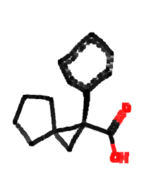 O=C(O)[C@]1(c2ccccc2)CC12CCCC2